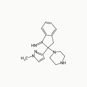 Cn1ccc(C2(N3CCNCC3)Cc3ccccc3C2=N)n1